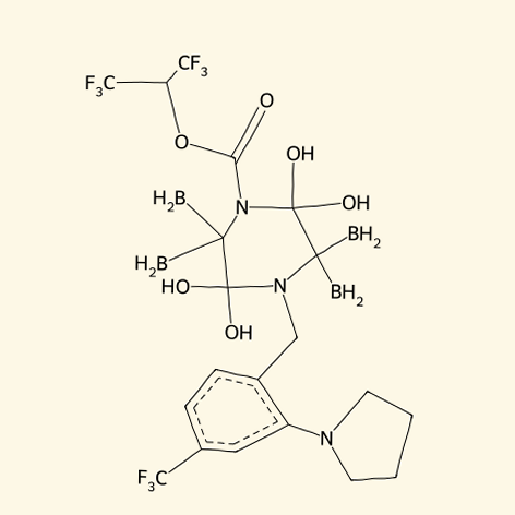 BC1(B)N(C(=O)OC(C(F)(F)F)C(F)(F)F)C(O)(O)C(B)(B)N(Cc2ccc(C(F)(F)F)cc2N2CCCC2)C1(O)O